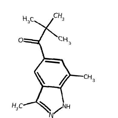 Cc1n[nH]c2c(C)cc(C(=O)C(C)(C)C)cc12